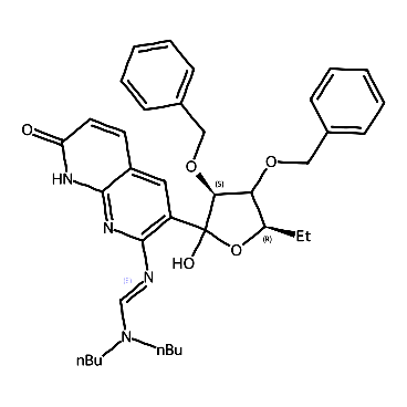 CCCCN(/C=N/c1nc2[nH]c(=O)ccc2cc1C1(O)O[C@H](CC)C(OCc2ccccc2)[C@@H]1OCc1ccccc1)CCCC